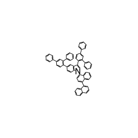 c1ccc(-c2ccc(-c3ccc4c(c3)c(-c3ccc(-c5ccccc5)cc3-c3ccccc3)cn4-c3ccc(-c4cccc5ccccc45)c4ccccc34)c(-c3ccccc3)c2)cc1